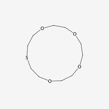 C1COCCOCCSCCOCCO1